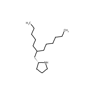 CCCCCCC(CCCCC)C[C@H]1CCCN1